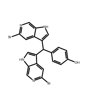 Oc1ccc(C(c2c[nH]c3cnc(Br)cc23)c2c[nH]c3cnc(Br)cc23)cc1